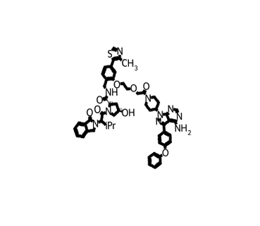 Cc1ncsc1-c1ccc(CNC(=O)[C@@H]2C[C@@H](O)CN2C(=O)C(C(C)C)N2Cc3ccccc3C2=O)c(OCCOCC(=O)N2CCC(n3nc(-c4ccc(Oc5ccccc5)cc4)c4c(N)ncnc43)CC2)c1